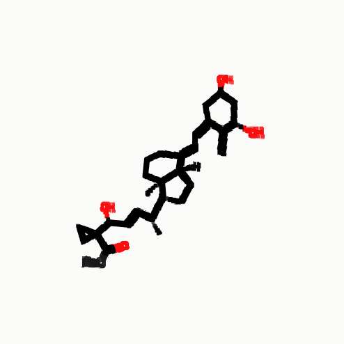 C=C1/C(=C\C=C2/CCC[C@]3(C)[C@@H]([C@H](C)/C=C/[C@@H](O)C4(C(=O)OCC(C)C)CC4)CC[C@@H]23)C[C@@H](O)C[C@@H]1O